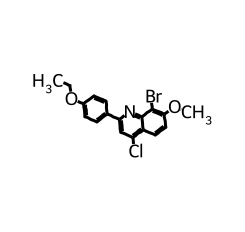 CCOc1ccc(-c2cc(Cl)c3ccc(OC)c(Br)c3n2)cc1